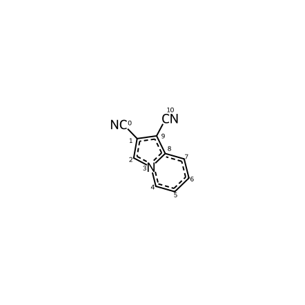 N#Cc1cn2ccccc2c1C#N